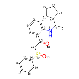 CC(Nc1ccccc1C(=O)C[S+]([O-])c1ccccc1)C1CCCC1